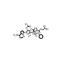 CCC(=O)O[C@H]1[C@H](c2ccc3c(N)ncnn23)O[C@](CF)(CO[P@@](=O)(N[C@@H](C)C(=O)OCC(CC)CC)Oc2ccccc2)[C@H]1OC(=O)CC